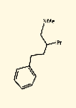 CNCC(CCc1ccccc1)C(C)C